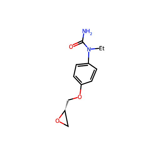 CCN(C(N)=O)c1ccc(OC[C@@H]2CO2)cc1